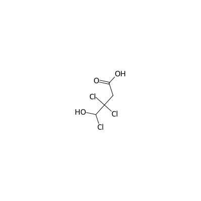 O=C(O)CC(Cl)(Cl)C(O)Cl